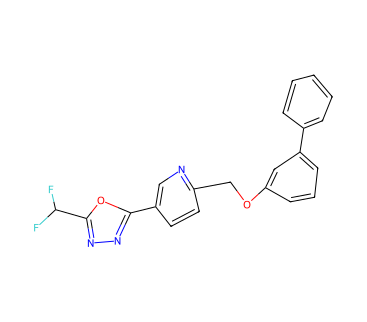 FC(F)c1nnc(-c2ccc(COc3cccc(-c4ccccc4)c3)nc2)o1